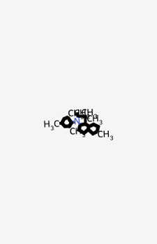 C=C1N(c2c(C)cc(C)cc2C)c2ccc3cc(C)ccc3c2C1(C)C